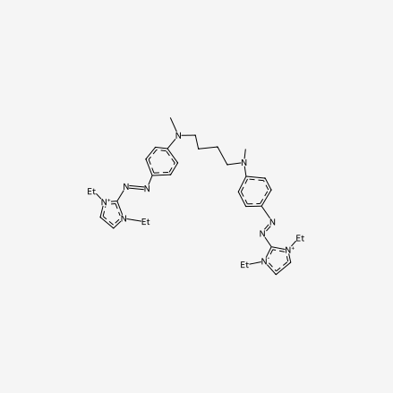 CCn1cc[n+](CC)c1N=Nc1ccc(N(C)CCCCN(C)c2ccc(N=Nc3n(CC)cc[n+]3CC)cc2)cc1